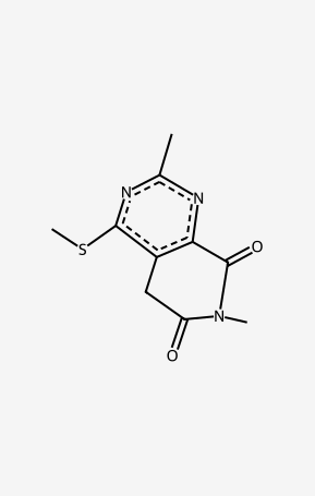 CSc1nc(C)nc2c1CC(=O)N(C)C2=O